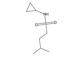 CC(C)CCS(=O)(=O)NC1CC1